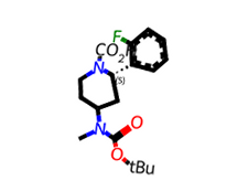 CN(C(=O)OC(C)(C)C)C1CCN(C(=O)O)[C@H](c2ccccc2F)C1